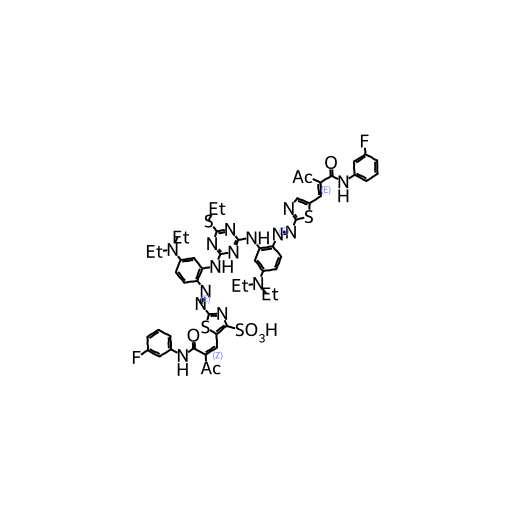 CCSc1nc(Nc2cc(N(CC)CC)ccc2/N=N/c2ncc(/C=C(\C(C)=O)C(=O)Nc3cccc(F)c3)s2)nc(Nc2cc(N(CC)CC)ccc2/N=N/c2nc(S(=O)(=O)O)c(/C=C(/C(C)=O)C(=O)Nc3cccc(F)c3)s2)n1